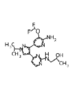 CC(C)n1cc(-c2ccnc(NC[C@H](C)O)n2)c(-c2cnc(N)c(OC(F)F)c2)n1